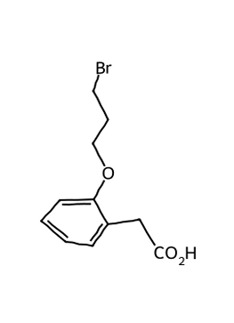 O=C(O)Cc1ccccc1OCCCBr